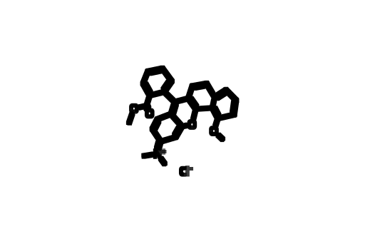 COC(=O)c1ccccc1-c1c2ccc(=[N+](C)C)cc-2oc2c1ccc1cccc(OC)c12.[Cl-]